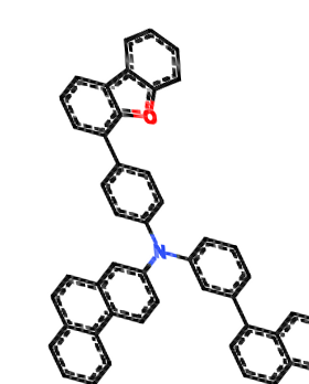 c1cc(-c2cccc3ccccc23)cc(N(c2ccc(-c3cccc4c3oc3ccccc34)cc2)c2ccc3c(ccc4ccccc43)c2)c1